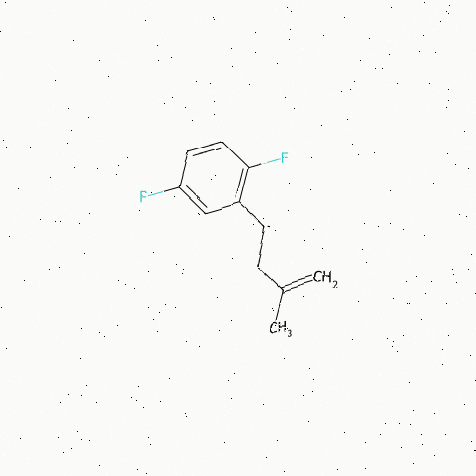 C=C(C)C[CH]c1cc(F)ccc1F